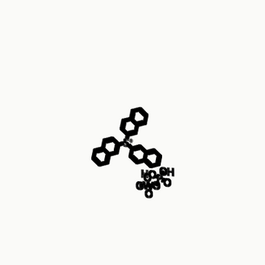 O=P(O)(O)[O][W](=[O])(=[O])[O-].c1ccc2cc([S+](c3ccc4ccccc4c3)c3ccc4ccccc4c3)ccc2c1